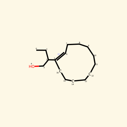 CCC(CO)/C1=C\CCCCCCCCCC1